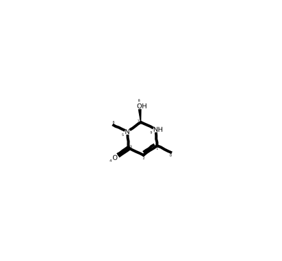 CC1=CC(=O)N(C)[C@@H](O)N1